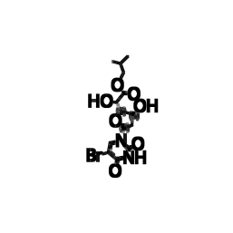 CC(C)COC(=O)C(O)[C@H]1O[C@@H](n2cc(Br)c(=O)[nH]c2=O)C[C@@H]1O